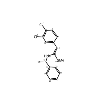 CSC(=Nc1ccc(Cl)c(Cl)c1)N[C@@H](C)c1ccccc1